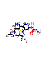 CCNC(=O)Nc1cc(-c2nc(C(F)(F)F)c(C)s2)c(-c2cncc(-c3nnc(C)o3)c2)cn1